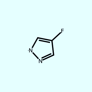 FC1=C[N]N=C1